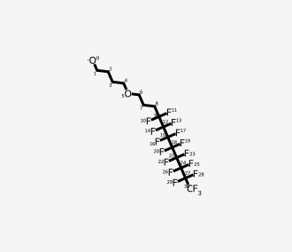 [O]CCCCOCCCC(F)(F)C(F)(F)C(F)(F)C(F)(F)C(F)(F)C(F)(F)C(F)(F)C(F)(F)F